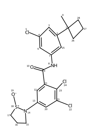 CC1(c2cc(Cl)cc(NC(=O)c3cc(N4CCC[S+]4[O-])cc(Cl)c3Cl)c2)CCC1